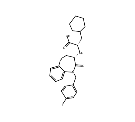 O=C(O)[C@H](CC1CCCCC1)N[C@H]1COc2ccccc2N(Cc2ccc(I)cc2)C1=O